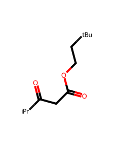 CC(C)C(=O)CC(=O)OCCC(C)(C)C